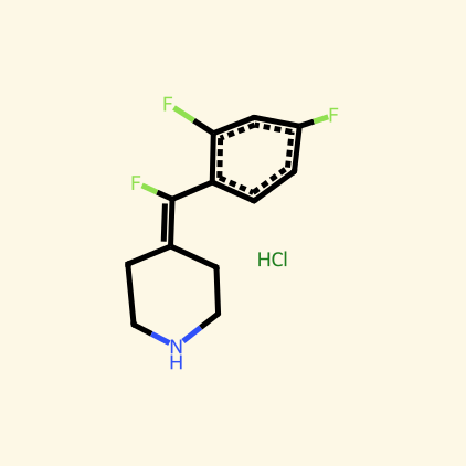 Cl.FC(=C1CCNCC1)c1ccc(F)cc1F